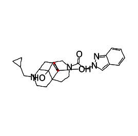 O=C(Cn1cc2ccccc2n1)N1CCC23CCN(CC4CC4)C(Cc4ccc(O)cc42)C3(O)CC1